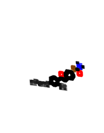 CCCCCc1ccc(-c2cc3ccc(SC(=O)N(C)C)cc3o2)c(CC)c1